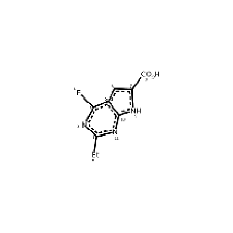 CCc1nc(F)c2cc(C(=O)O)[nH]c2n1